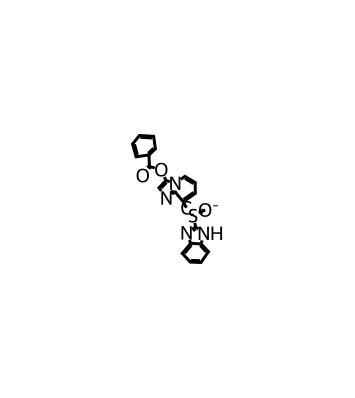 O=C(Oc1cnc2c(C[S+]([O-])c3nc4ccccc4[nH]3)cccn12)c1ccccc1